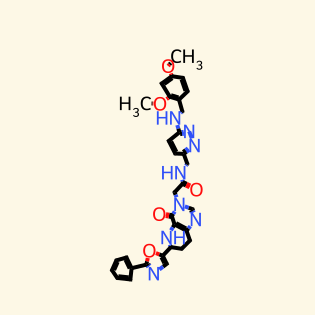 COc1ccc(CNc2ccc(CNC(=O)Cn3cnc4c(c3=O)NC(c3cnc(-c5ccccc5)o3)CC4)nn2)c(OC)c1